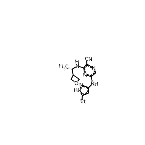 CCc1cc(Nc2cnc(C#N)c(N[C@@H](C)C3COC3)n2)n[nH]1